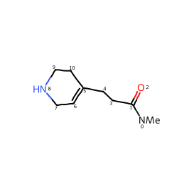 CNC(=O)CCC1=CCNCC1